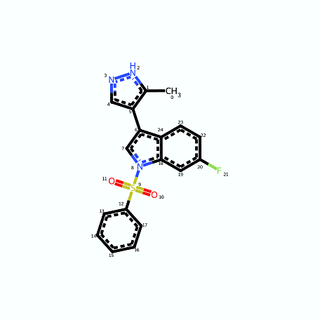 Cc1[nH]ncc1-c1cn(S(=O)(=O)c2ccccc2)c2cc(F)ccc12